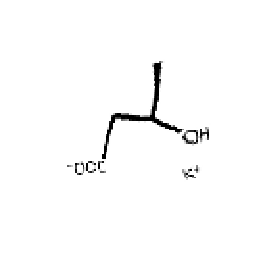 CC(O)CC(=O)[O-].[K+]